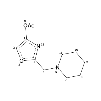 CC(=O)Oc1coc(CN2CCCCC2)n1